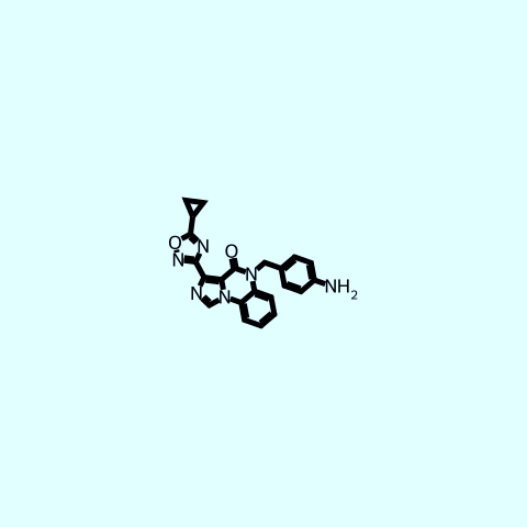 Nc1ccc(Cn2c(=O)c3c(-c4noc(C5CC5)n4)ncn3c3ccccc32)cc1